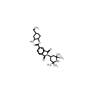 C=CC1CCC(OC(=O)c2ccc3c(c2)C(=O)N(C2CC(C)(C)NC(C)(C)C2)C3=O)C(O)C1